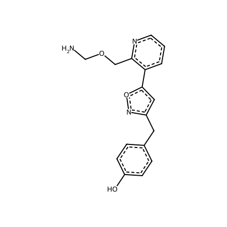 NCOCc1ncccc1-c1cc(Cc2ccc(O)cc2)no1